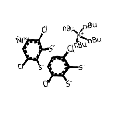 CCCC[N+](CCCC)(CCCC)CCCC.[Ni+3].[S-]c1c(Cl)ccc(Cl)c1[S-].[S-]c1c(Cl)ccc(Cl)c1[S-]